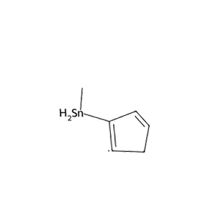 [CH3][SnH2][C]1=[C]CC=C1